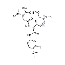 C=C(/C=C\C(=C/C)COC)[C@@H](NC(=O)CN1C(=O)CNC1O)C(=O)Nc1ccc([Si](C)(C)C)c(F)c1